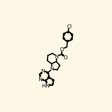 O=C(OCc1ccc(Cl)cc1)N1CCCC2C1CCN2c1ncnc2[nH]ccc12